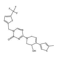 Cc1cc(C2=CCN(c3ncn(Cc4ccc(C(F)(F)F)s4)c(=O)n3)CC2O)cs1